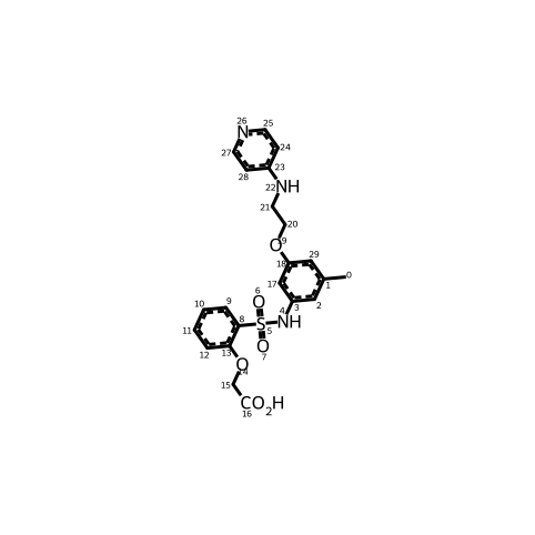 Cc1cc(NS(=O)(=O)c2ccccc2OCC(=O)O)cc(OCCNc2ccncc2)c1